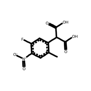 Cc1cc([N+](=O)[O-])c(F)cc1C(C(=O)O)C(=O)O